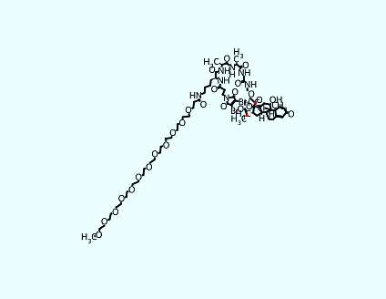 CCC(=O)OC1(C(=O)COCNC(=O)CNC(=O)[C@H](C)NC(=O)[C@H](C)NC(=O)[C@H](CCCCNC(=O)CCOCCOCCOCCOCCOCCOCCOCCOCCOCCOCCOCCOC)NC(=O)CCN2C(=O)C(Br)=C(Br)C2=O)[C@@H](C)C[C@H]2[C@@H]3CCC4=CC(=O)C=C[C@]4(C)C3(Cl)[C@@H](O)C[C@@]21C